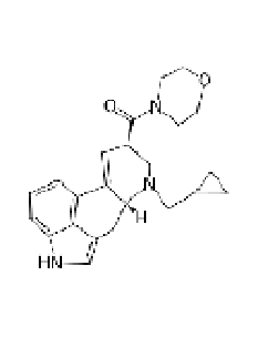 O=C([C@@H]1C=C2c3cccc4[nH]cc(c34)C[C@H]2N(CC2CC2)C1)N1CCOCC1